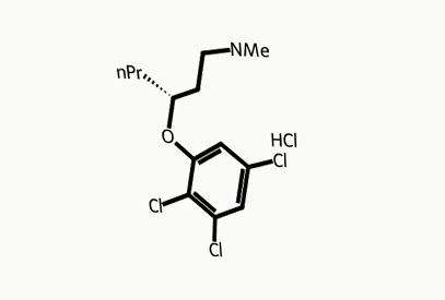 CCC[C@H](CCNC)Oc1cc(Cl)cc(Cl)c1Cl.Cl